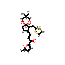 Cc1ccc(C(=O)C=CC2CCC3(OCC(C)(C)CO3)C2CC2SCCS2)o1